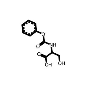 O=C(NC(CO)C(=O)O)Oc1ccccc1